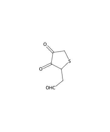 O=CCC1SCC(=O)C1=O